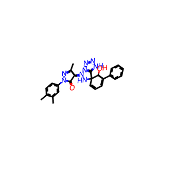 CC1=NN(c2ccc(C)c(C)c2)C(=O)/C1=N\NC1(c2nnn[nH]2)C=CC=C(c2ccccc2)C1O